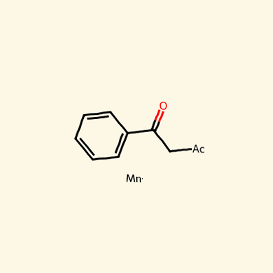 CC(=O)CC(=O)c1ccccc1.[Mn]